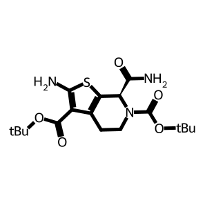 CC(C)(C)OC(=O)c1c(N)sc2c1CCN(C(=O)OC(C)(C)C)[C@@H]2C(N)=O